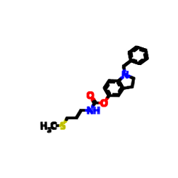 CSCCCNC(=O)Oc1ccc2c(c1)CCN2Cc1ccccc1